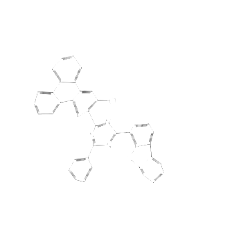 Clc1cc2c3ccccc3c3ccccc3c2cc1-c1nc(-c2ccccc2)nc(-c2cccc3c2sc2ccccc23)n1